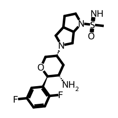 CS(=N)(=O)N1CCC2CN([C@H]3CO[C@H](c4cc(F)ccc4F)[C@@H](N)C3)CC21